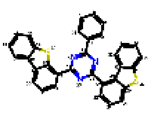 c1ccc(-c2nc(-c3cccc4c3sc3ccccc34)nc(-c3cccc4sc5ccccc5c34)n2)cc1